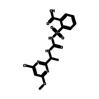 COc1cc(Cl)nc(C(C)NC(=O)NS(=O)(=O)c2ccccc2C(=O)O)n1